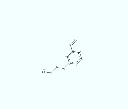 C=Cc1cccc(C[CH]CCl)c1